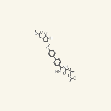 COC(=O)C[C@@H]1C[C@@H](COc2ccc(-c3ccc(C(=N)NC(=O)OC(C)OC(C)=O)cc3)cc2)NC1=O